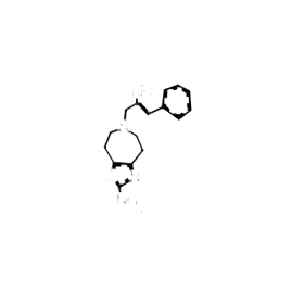 CCCC(=Cc1ccccc1)CN1CCc2nc(N)sc2CC1